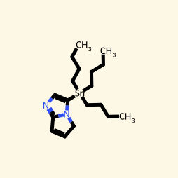 CCC[CH2][Sn]([CH2]CCC)([CH2]CCC)[c]1cnc2n1CC=C2